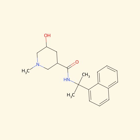 CN1CC(O)CC(C(=O)NC(C)(C)c2cccc3ccccc23)C1